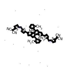 Cc1cccc(C)c1-c1cc2cc(-c3ccc(/C=c4/ccc(=C(C#N)C#N)s4)s3)sc2c2c(-c3c(C)cccc3C)cc3cc(-c4ccc(/C=c5/ccc(=C(C#N)C#N)s5)s4)sc3c12